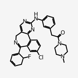 CN1CCN(C(=O)Cc2cccc(Nc3ncc4c(n3)-c3ccc(Cl)cc3C(C3=CC=CCC3F)=NC4)c2)CC1